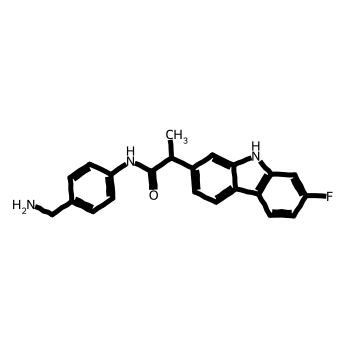 CC(C(=O)Nc1ccc(CN)cc1)c1ccc2c(c1)[nH]c1cc(F)ccc12